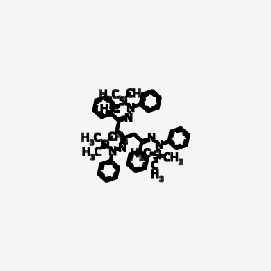 C[Si](C)(C)N(N=C(CC(=NN(c1ccccc1)[Si](C)(C)C)c1ccccc1)CC(=NN(c1ccccc1)[Si](C)(C)C)c1ccccc1)c1ccccc1